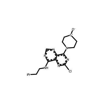 CC(C)CCNc1ncnc2c(N3CC[S+]([O-])CC3)nc(Cl)nc12